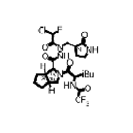 CCC(C)C(NC(=O)C(F)(F)F)C(=O)N1C[C@@H]2CCC[C@@H]2[C@H]1C(=O)NN(C[C@@H]1CCNC1=O)C(=O)C(F)Cl